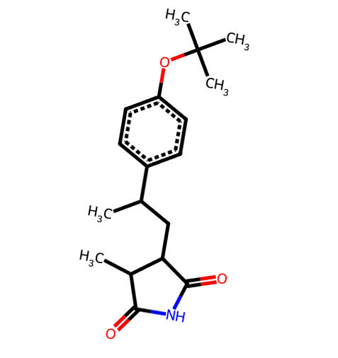 CC(CC1C(=O)NC(=O)C1C)c1ccc(OC(C)(C)C)cc1